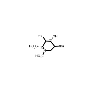 CC(C)(C)C1CN(C(=O)O)[C@H](C(=O)O)C(C(C)(C)C)[C@@H]1O